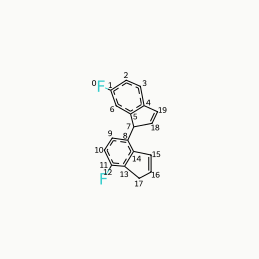 Fc1ccc2c(c1)C(c1ccc(F)c3c1C=CC3)C=C2